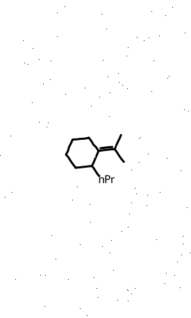 [CH2]CCC1CCCCC1=C(C)C